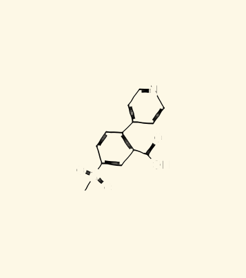 CS(=O)(=O)c1ccc(-c2ccncc2)c(C(=O)O)c1